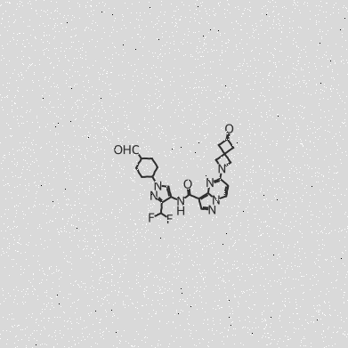 O=CC1CCC(n2cc(NC(=O)c3cnn4ccc(N5CC6(CC(=O)C6)C5)nc34)c(C(F)F)n2)CC1